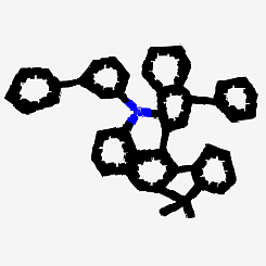 CC1(C)c2ccccc2-c2c(-c3cc(-c4ccccc4)c4ccccc4c3N(c3ccccc3)c3cccc(-c4ccccc4)c3)cccc21